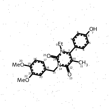 CCn1c(-c2ccc(O)cc2)c(C)c(=O)n(Cc2ccc(OC)c(OC)c2)c1=O